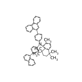 Cc1ccc2c(c1N(c1ccc(-c3cccc4ccccc34)cc1)c1ccc(-c3cc4ccccc4c4ccccc34)cc1)C(C)(C)CCC2(C)C